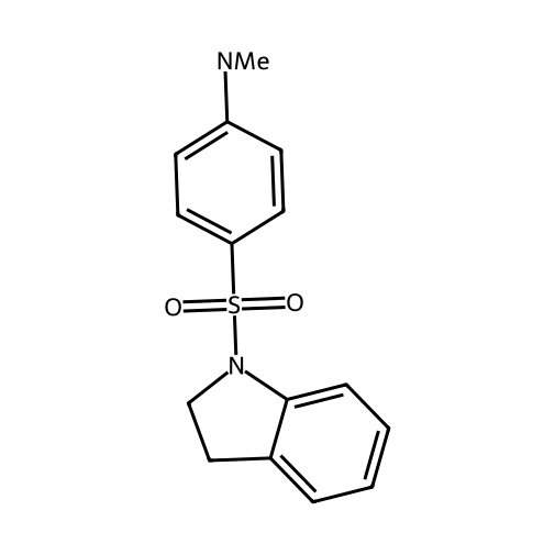 CNc1ccc(S(=O)(=O)N2CCc3ccccc32)cc1